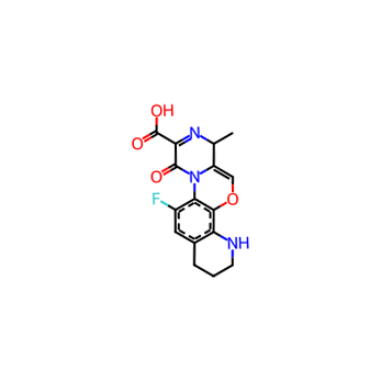 CC1N=C(C(=O)O)C(=O)N2C1=COc1c3c(cc(F)c12)CCCN3